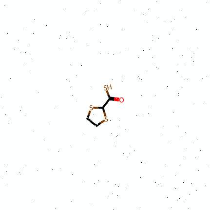 O=C(S)C1SCCS1